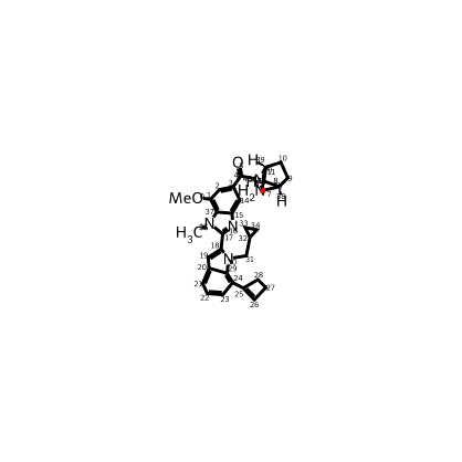 COc1cc(C(=O)N2C[C@H]3CC[C@@H]2[C@@H]3N)cc2nc(-c3cc4cccc(C5=CCC5)c4n3CC3CC3)n(C)c12